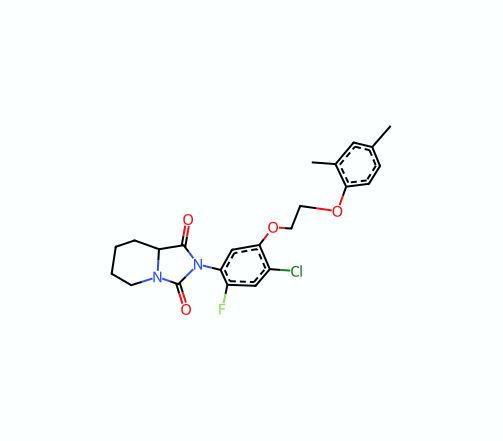 Cc1ccc(OCCOc2cc(N3C(=O)C4CCCCN4C3=O)c(F)cc2Cl)c(C)c1